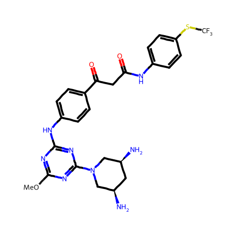 COc1nc(Nc2ccc(C(=O)CC(=O)Nc3ccc(SC(F)(F)F)cc3)cc2)nc(N2C[C@H](N)C[C@H](N)C2)n1